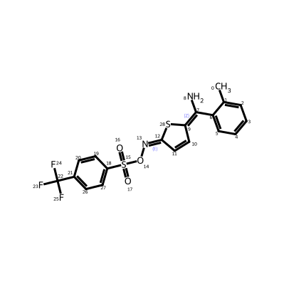 Cc1ccccc1/C(N)=C1C=C/C(=N\OS(=O)(=O)c2ccc(C(F)(F)F)cc2)S\1